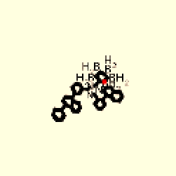 Bc1c(B)c(B)c(-c2nc(-c3cccc(-c4ccc(-c5ccccc5)c5ccccc45)c3)nc(-c3ccccc3-c3cccc4ccccc34)n2)c(B)c1B